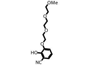 COCCOCCOCCOc1cccc(C#N)c1O